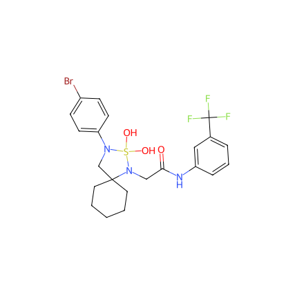 O=C(CN1C2(CCCCC2)CN(c2ccc(Br)cc2)S1(O)O)Nc1cccc(C(F)(F)F)c1